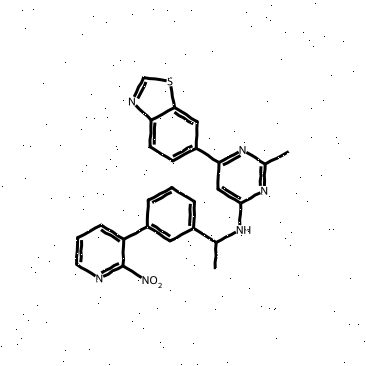 Cc1nc(NC(C)c2cccc(-c3cccnc3[N+](=O)[O-])c2)cc(-c2ccc3ncsc3c2)n1